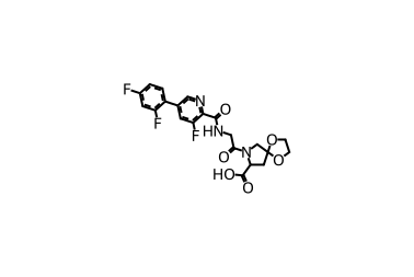 O=C(NCC(=O)N1CC2(CC1C(=O)O)OCCO2)c1ncc(-c2ccc(F)cc2F)cc1F